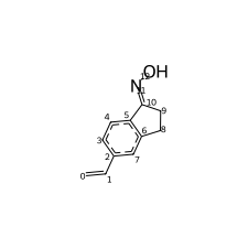 C=Cc1ccc2c(c1)CCC2=NO